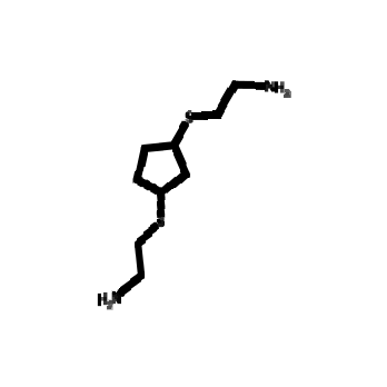 NCCSC1CCC(SCCN)C1